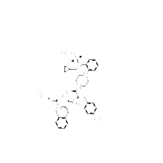 CC(C)(C)OC(=O)N1Cc2ccccc2C[C@H]1C(=O)N[C@H](Cc1ccc(Cl)cc1)C(=O)N1CCN(c2ccccc2N(CC2CC2)S(C)(=O)=O)CC1